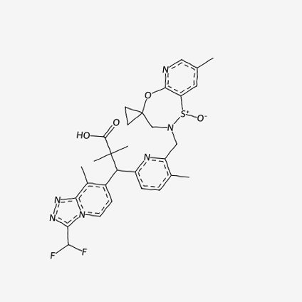 Cc1cnc2c(c1)[S+]([O-])N(Cc1nc(C(c3ccn4c(C(F)F)nnc4c3C)C(C)(C)C(=O)O)ccc1C)CC1(CC1)O2